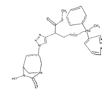 COC(=O)C(C/C=C/[PH](C)(c1ccccc1)c1ccccc1)c1cn(C2=CC3CN(C2)C(=O)N3O)nn1